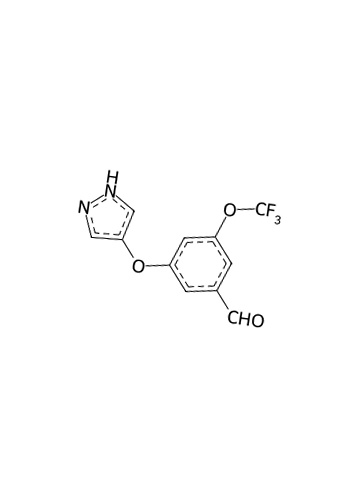 O=Cc1cc(Oc2cn[nH]c2)cc(OC(F)(F)F)c1